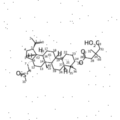 C=C(C)[C@@H]1CC[C@]2(CC[S+](C)[O-])CC[C@]3(C)[C@H](CC[C@@H]4[C@@]5(C)CC[C@H](OC(=O)CC(C)(C)CC(=O)O)C(C)(C)[C@@H]5CC[C@]43C)[C@@H]12